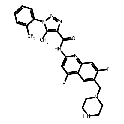 Cc1c(C(=O)Nc2cc(F)c3cc(CN4CCNCC4)c(F)cc3n2)nnn1-c1ccccc1C(F)(F)F